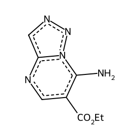 CCOC(=O)c1cnc2cnnn2c1N